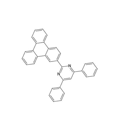 c1ccc(-c2cc(-c3ccccc3)nc(-c3ccc4c5ccccc5c5ccccc5c4c3)n2)cc1